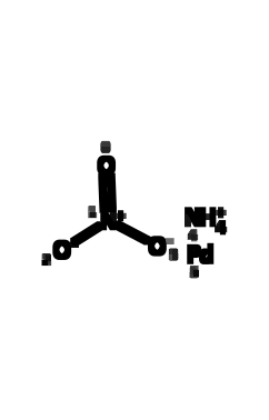 O=[N+]([O-])[O-].[NH4+].[Pd]